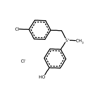 C[S+](Cc1ccc(Cl)cc1)c1ccc(O)cc1.[Cl-]